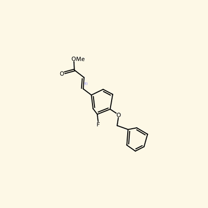 COC(=O)/C=C/c1ccc(OCc2ccccc2)c(F)c1